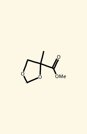 COC(=O)C1(C)CO[CH]O1